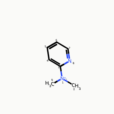 C[N+](C)c1ccccn1